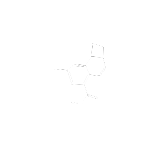 COC(=O)c1cc(Br)cc2c1C=CC1CCC21